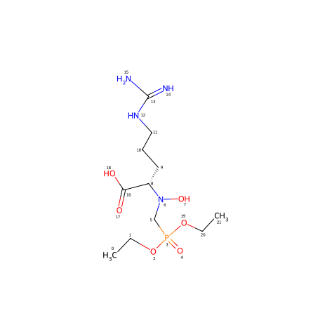 CCOP(=O)(CN(O)[C@@H](CCCNC(=N)N)C(=O)O)OCC